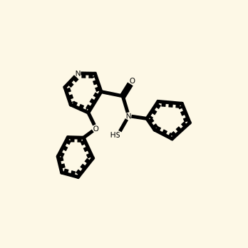 O=C(c1cnccc1Oc1ccccc1)N(S)c1ccccc1